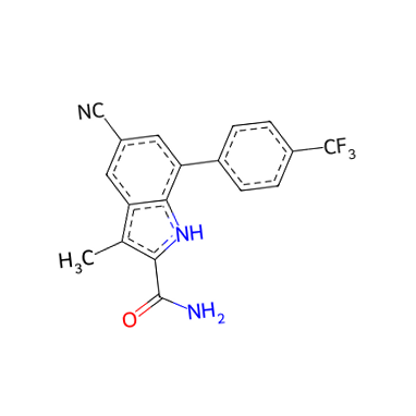 Cc1c(C(N)=O)[nH]c2c(-c3ccc(C(F)(F)F)cc3)cc(C#N)cc12